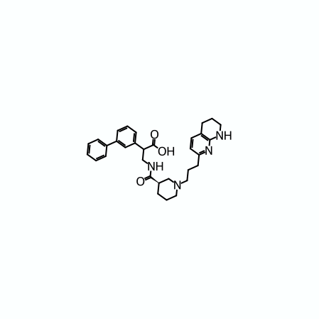 O=C(O)C(CNC(=O)[C@@H]1CCCN(CCCc2ccc3c(n2)NCCC3)C1)c1cccc(-c2ccccc2)c1